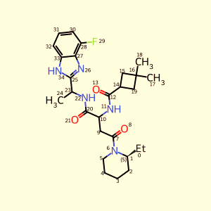 CC[C@H]1CCCCN1C(=O)CC(NC(=O)C1CC(C)(C)C1)C(=O)NC(C)c1nc2c(F)cccc2[nH]1